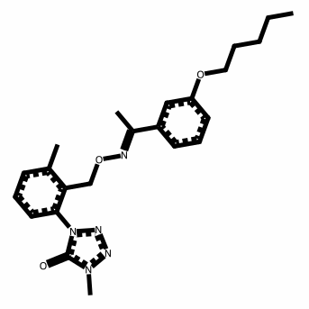 CCCCCOc1cccc(C(C)=NOCc2c(C)cccc2-n2nnn(C)c2=O)c1